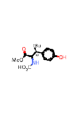 COC(=O)C(NC(=O)O)[C@H](c1ccc(O)cc1)C(C)(C)C